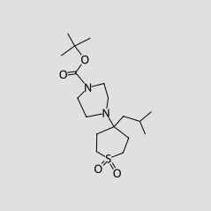 CC(C)CC1(N2CCN(C(=O)OC(C)(C)C)CC2)CCS(=O)(=O)CC1